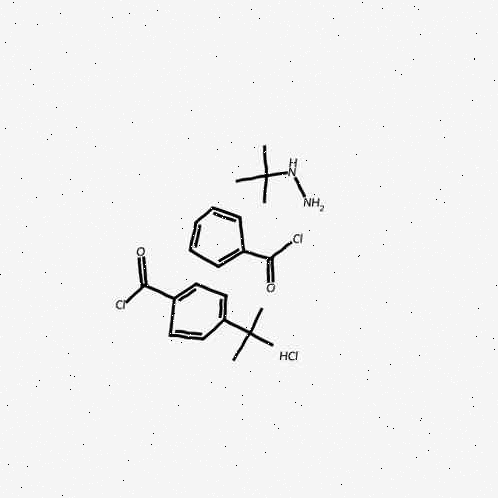 CC(C)(C)NN.CC(C)(C)c1ccc(C(=O)Cl)cc1.Cl.O=C(Cl)c1ccccc1